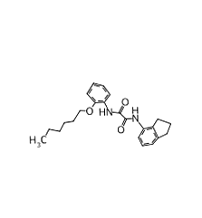 CCCCCCOc1ccccc1NC(=O)C(=O)Nc1cccc2c1CCC2